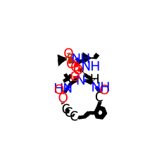 C=C[C@@H]1C[C@]1(NC(=O)[C@@H]1C[C@@H]2CN1C(=O)[C@H](C(C)(C)C)NC(=O)OCCCCC/C=C/c1ccccc1CCC(=O)N2)C(=O)NS(=O)(=O)C1CC1